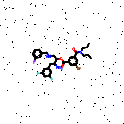 CCCN(CCC)C(=O)c1cc(Br)cc(C(=O)OC(CNCc2cccc(I)c2)C(N)Cc2cc(F)cc(F)c2)c1